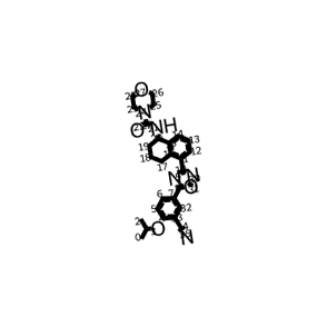 CC(C)Oc1ccc(-c2nc(-c3cccc4c3CCCC4NC(=O)N3CCOCC3)no2)cc1C#N